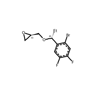 CC[C@@H](OC[C@H]1CO1)c1cc(F)c(F)cc1Br